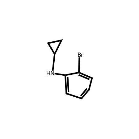 Brc1ccccc1NC1CC1